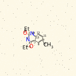 CCOc1nc(OCC)c2cc(C)ccc2n1